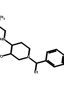 C=CCNC1CCN(C(CC)c2ccccc2)CC1O